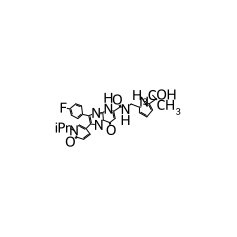 CC(C)n1cc(-c2nc3c(=O)cc(C(=O)NCc4cccc(C(C)(C)O)n4)[nH]c3nc2-c2ccc(F)cc2)ccc1=O